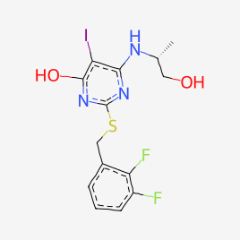 C[C@H](CO)Nc1nc(SCc2cccc(F)c2F)nc(O)c1I